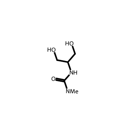 CNC(=O)NC(CO)CO